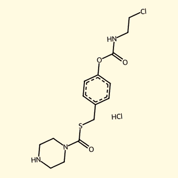 Cl.O=C(NCCCl)Oc1ccc(CSC(=O)N2CCNCC2)cc1